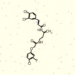 C=C(CCNC(=O)COc1ccc(Cl)c(F)c1)NC(=O)/C=C/c1ccc(Cl)c(Cl)c1